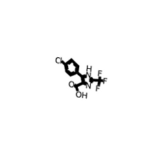 O=C(O)c1nc(C(F)(F)F)[nH]c1-c1ccc(Cl)cc1